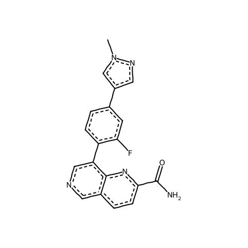 Cn1cc(-c2ccc(-c3cncc4ccc(C(N)=O)nc34)c(F)c2)cn1